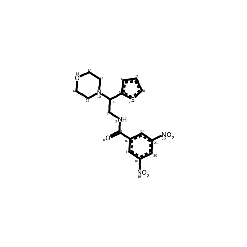 O=C(NCC(c1cccs1)N1CCOCC1)c1cc([N+](=O)[O-])cc([N+](=O)[O-])c1